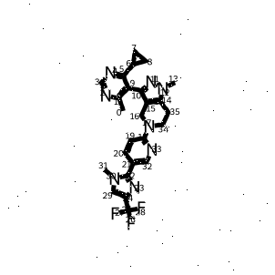 Cc1ncnc(C2CC2)c1-c1nn(C)c2c1CN(c1ccc(-c3nc(C(F)(F)F)cn3C)cn1)CC2